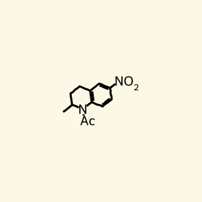 CC(=O)N1c2ccc([N+](=O)[O-])cc2CCC1C